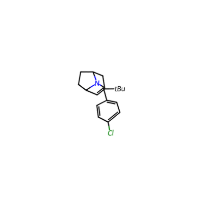 CC(C)(C)C1=CC2CCC(C1)N2Cc1ccc(Cl)cc1